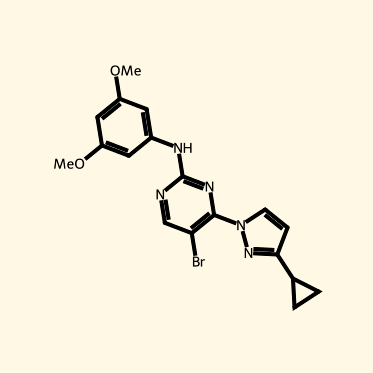 COc1cc(Nc2ncc(Br)c(-n3ccc(C4CC4)n3)n2)cc(OC)c1